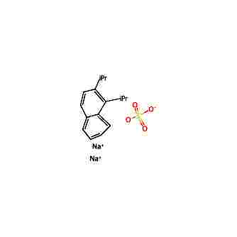 CC(C)c1ccc2ccccc2c1C(C)C.O=S(=O)([O-])[O-].[Na+].[Na+]